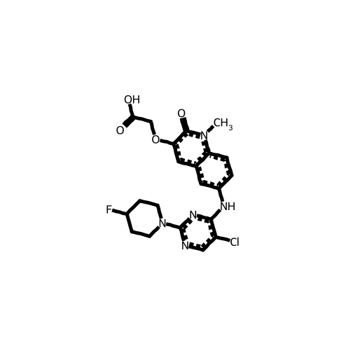 Cn1c(=O)c(OCC(=O)O)cc2cc(Nc3nc(N4CCC(F)CC4)ncc3Cl)ccc21